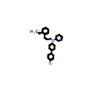 C=Cc1ccccc1/C=C\CN(c1ccccc1)c1ccc(-c2ccc(Br)cc2)cc1